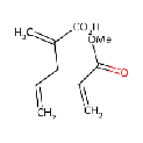 C=CC(=O)OC.C=CCC(=C)C(=O)O